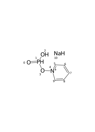 O=[PH](O)O[n+]1ccccc1.[NaH]